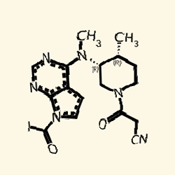 C[C@@H]1CCN(C(=O)CC#N)C[C@@H]1N(C)c1ncnc2c1ccn2C(=O)I